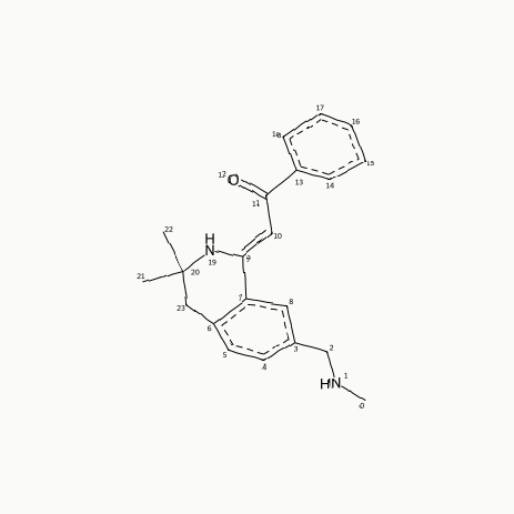 CNCc1ccc2c(c1)C(=CC(=O)c1ccccc1)NC(C)(C)C2